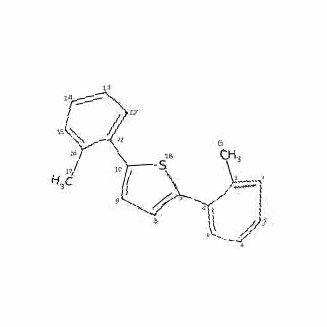 Cc1ccccc1-c1ccc(-c2ccccc2C)s1